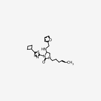 CC=CCCCN1CC(NCc2ccco2)N(c2nnc(C3CCC3)s2)C1=O